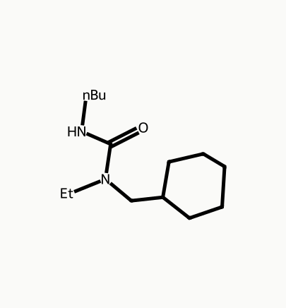 [CH2]CN(CC1CCCCC1)C(=O)NCCCC